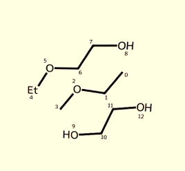 CCOC.CCOCCO.OCCO